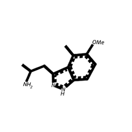 COc1ccc2[nH]nc(CC(C)N)c2c1C